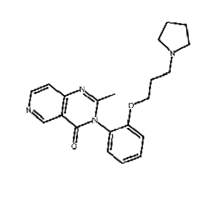 Cc1nc2ccncc2c(=O)n1-c1ccccc1OCCCN1CCCC1